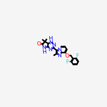 Cc1nc2c(OCc3c(F)cccc3F)cccn2c1C1=NNC2C(=N1)NC(=O)C2(C)C